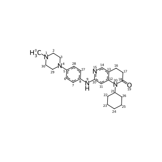 CN1CCN(c2ccc(Nc3cc4c(cn3)CCC(=O)N4C3CCCCC3)cc2)CC1